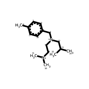 Cc1ccc(CN(CCN(C)C)CC(C)C)cc1